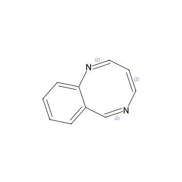 C1=C\N=C/c2ccccc2\N=C/1